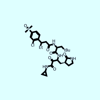 CCC(CC(=O)NC(CC(C)(C)C)C(=O)NC(C[C@@H]1CCNC1=O)C(=O)C(=O)NC1CC1)c1ccc(P(C)(C)=O)cc1Cl